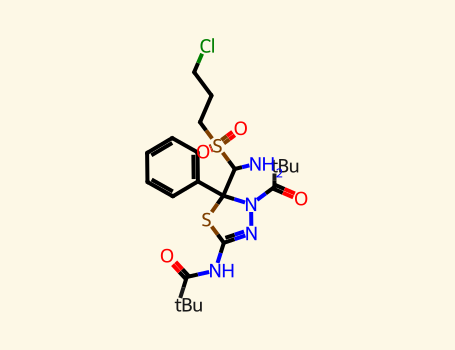 CC(C)(C)C(=O)NC1=NN(C(=O)C(C)(C)C)C(c2ccccc2)(C(N)S(=O)(=O)CCCCl)S1